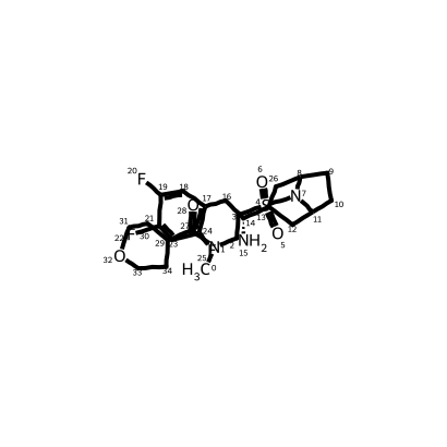 CN(CCS(=O)(=O)N1C2CCC1CC([C@H](N)Cc1cc(F)c(F)cc1F)C2)C(=O)C1CCOCC1